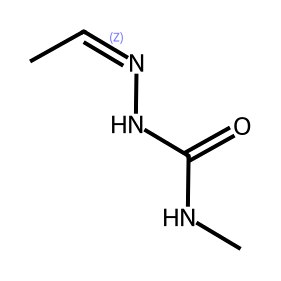 C/C=N\NC(=O)NC